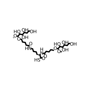 COC(OCCCCC(=O)NCCCC[C@@H](NC(=O)CCCCOC(OC)C(O)C(O)C(O)CCO)C(=O)S)C(O)C(O)C(O)CCO